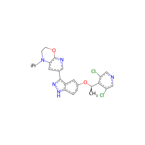 CC(C)N1CCOc2ncc(-c3n[nH]c4ccc(O[C@H](C)c5c(Cl)cncc5Cl)cc34)cc21